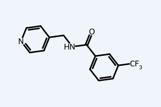 O=C(NCc1ccncc1)c1cccc(C(F)(F)F)c1